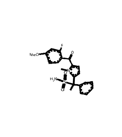 COc1ccc(C(=O)c2ccc(C(C)(c3ccccc3)S(N)(=O)=O)n2C)c(F)c1